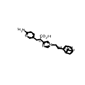 CC1(C)C2CCC(CCn3cnc([C@@H](Cc4ccc(N)nc4)C(=O)O)c3)C1C2